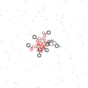 C[C@]12CCC3c4ccc(F)cc4CC[C@H]3[C@@H]1CC[C@@H]2OC1OC(COC(=O)c2ccccc2)C(OC(=O)c2ccccc2)C(OC2OC(COC(=O)c3ccccc3)C(OC(=O)c3ccccc3)C(OC(=O)c3ccccc3)C2OC(=O)c2ccccc2)C1OC(=O)c1ccccc1